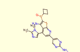 Cc1ncc(-c2cc(-c3cnc(N)nc3)nc3sc([S+]([O-])C4CCC4)c(N)c23)n1C